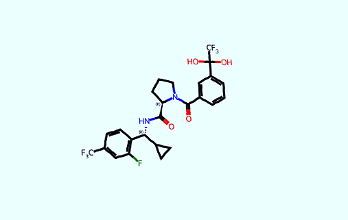 O=C(N[C@@H](c1ccc(C(F)(F)F)cc1F)C1CC1)[C@H]1CCCN1C(=O)c1cccc(C(O)(O)C(F)(F)F)c1